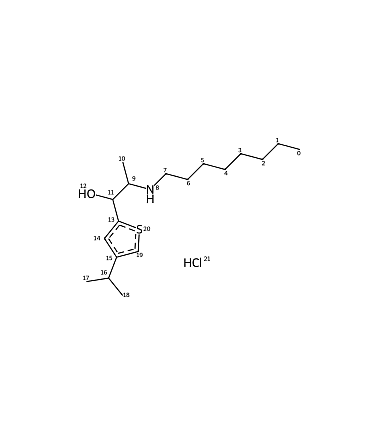 CCCCCCCCNC(C)C(O)c1cc(C(C)C)cs1.Cl